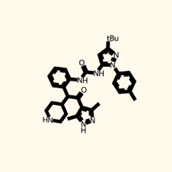 Cc1ccc(-n2nc(C(C)(C)C)cc2NC(=O)Nc2ccccc2C(C(=O)c2c(C)n[nH]c2C)C2CCNCC2)cc1